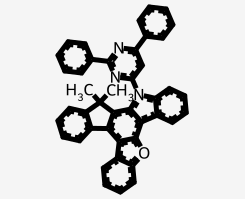 CC1(C)c2ccccc2-c2c1c1c(c3ccccc3n1-c1cc(-c3ccccc3)nc(-c3ccccc3)n1)c1oc3ccccc3c21